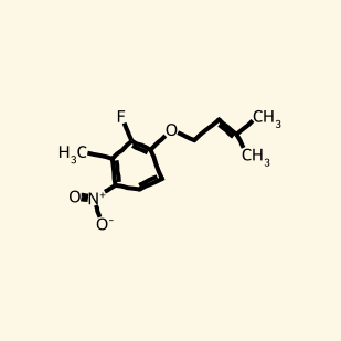 CC(C)=CCOc1ccc([N+](=O)[O-])c(C)c1F